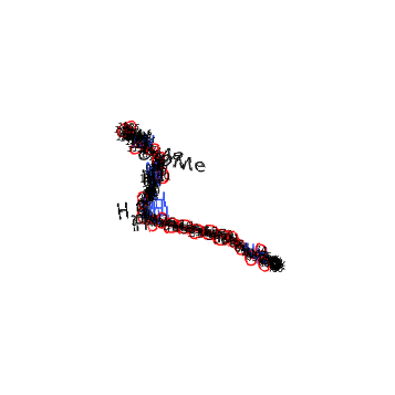 COc1cc2c(cc1OCCCOc1cc3c(cc1OC)C1OC1N1C=C(c4ccc(NC(=O)[C@H](C)NC(=O)C(NC(=O)CCOCCOCCOCCOCCOCCOCCOCCOCCNC(=O)CCN5C(=O)CC(C6=C/C=C\C=C/C=C\6)C5=O)C(C)C)cc4)C[C@H]1/C=N\3)N=C[C@@H]1CC(c3ccc4c(c3)OCO4)=CN1C2=O